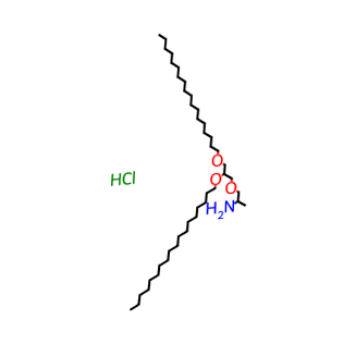 CCCCCCCCCCCCCCCCCCOCC(COCC(C)N)OCCCCCCCCCCCCCCCCCC.Cl